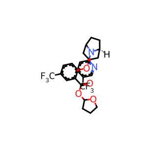 O=C(OC1CCCO1)c1cc(C(F)(F)F)ccc1OC1CC2CC[C@@H](C1)N2c1ccc(C(F)(F)F)cn1